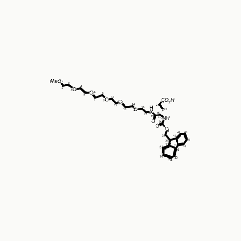 COCCOCCOCCOCCOCCOCCNC(=O)[C@H](CCC(=O)O)NC(=O)OCC1c2ccccc2-c2ccccc21